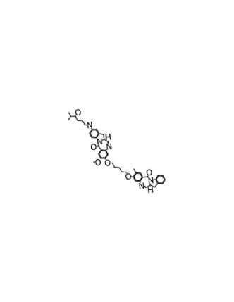 COc1cc2c(cc1OCCCCCOc1cc3c(cc1C)C(=O)N1c4ccccc4C[C@H]1C=N3)N=C[C@@H]1Cc3cc(N(C)CCCC(=O)C(C)C)ccc3N1C2=O